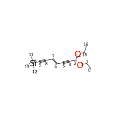 CCOC(C#C/C=C/C#C[Si](C)(C)C)OCC